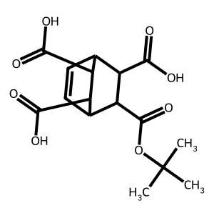 CC(C)(C)OC(=O)C1C2C=CC(C(C(=O)O)C2C(=O)O)C1C(=O)O